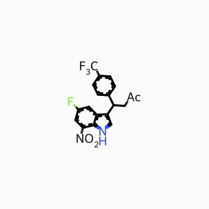 CC(=O)CC(c1ccc(C(F)(F)F)cc1)c1c[nH]c2c([N+](=O)[O-])cc(F)cc12